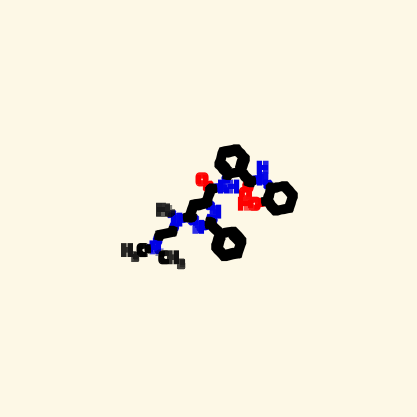 CCN(CCN(C)C)c1cc(C(=O)Nc2ccccc2C(=O)NC2CCCCC2O)nc(-c2ccccc2)n1